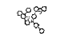 c1ccc(-c2ccc(N(c3ccc(-c4cccc5c4oc4ccccc45)cc3)c3cccc4c3oc3c(-c5ccccc5)c5ccccc5cc34)cc2)cc1